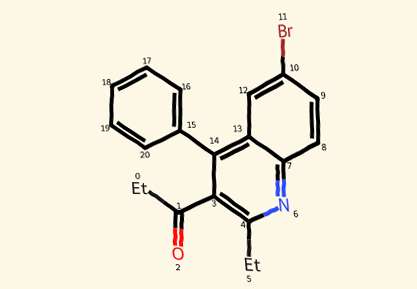 CCC(=O)c1c(CC)nc2ccc(Br)cc2c1-c1ccccc1